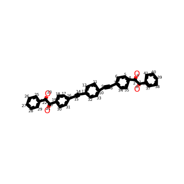 O=C(C(=O)c1ccc(C#Cc2ccc(C#Cc3ccc(C(=O)C(=O)c4ccccc4)cc3)cc2)cc1)c1ccccc1